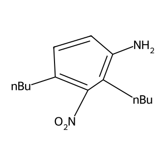 CCCCc1ccc(N)c(CCCC)c1[N+](=O)[O-]